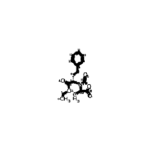 CCOC(=O)[C@H](CCc1ccccc1)N1C(=O)OC(=O)C1C